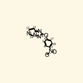 O=[N+]([O-])c1ccc(Oc2nc3ccncn3n2)cc1